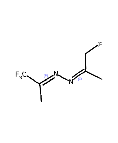 C/C(CF)=N/N=C(\C)C(F)(F)F